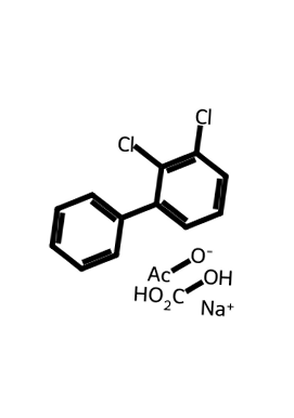 CC(=O)[O-].Clc1cccc(-c2ccccc2)c1Cl.O=C(O)O.[Na+]